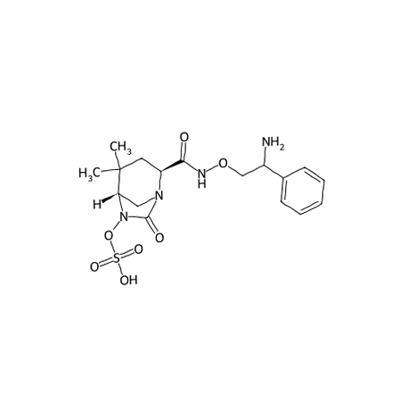 CC1(C)C[C@@H](C(=O)NOCC(N)c2ccccc2)N2C[C@@H]1N(OS(=O)(=O)O)C2=O